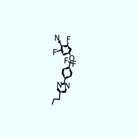 CCCc1cnc(-c2ccc(C(F)(F)Oc3cc(F)c(C#N)c(F)c3)cc2)nc1